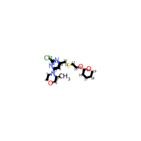 C[C@H]1COCCN1c1cc(CSCCOC2CCCCO2)nc(Cl)n1